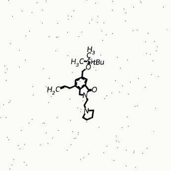 C=CCc1cc(CO[Si](C)(C)C(C)(C)C)cc2c1CN(CCN1CCCC1)C2=O